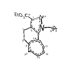 CCOC(=O)c1nn(C(C)C)c2c1CCc1ccccc1-2